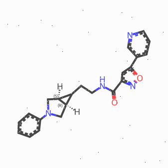 O=C(NCCC1[C@H]2CN(c3ccccc3)C[C@@H]12)c1cc(-c2cccnc2)on1